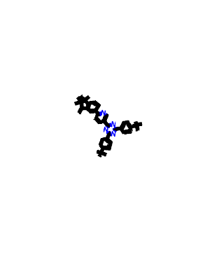 CC1c2cc(-c3ccc(-c4nc(-c5ccc(C(C)(C)C)cc5)nc(-c5ccc(C(C)(C)C)cc5)n4)cn3)ccc2C(C)(C)C1(C)C